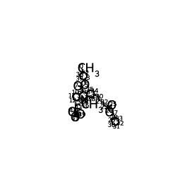 Cc1ccc(OC(=O)c2c3ccccc3[n+](C)c3cc(C=CC=CC(=O)OCc4ccccc4)ccc23)cc1.O=S(=O)([O-])F